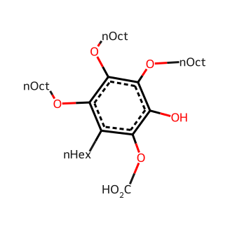 CCCCCCCCOc1c(O)c(OC(=O)O)c(CCCCCC)c(OCCCCCCCC)c1OCCCCCCCC